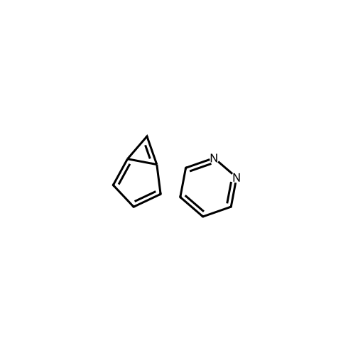 c1cc2cc-2c1.c1ccnnc1